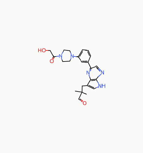 CC(C)(C=O)Cc1c[nH]c2ncc(-c3cccc(N4CCN(C(=O)CO)CC4)c3)nc12